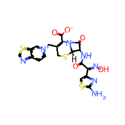 Nc1nc(C(=NO)C(=O)NC2C(=O)N3C(C(=O)[O-])=C(C[n+]4ccc5ncsc5c4)CS[C@@H]23)cs1